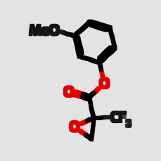 COc1cccc(OC(=O)C2(C(F)(F)F)CO2)c1